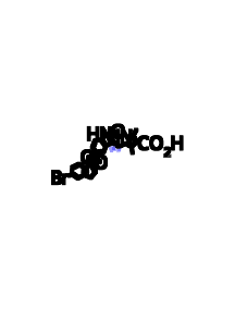 Cc1[nH]c(/C=C2\C(=O)Nc3ccc(S(=O)(=O)N4CCc5cc(Br)ccc54)cc32)c(C)c1C(=O)O